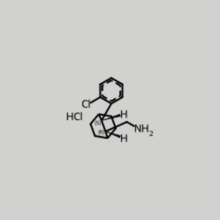 Cl.NC[C@@H]1C2CCC(CC2)[C@@H]1c1ccccc1Cl